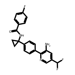 Nc1cc(C(F)F)cnc1-c1ccc(C2(NC(=O)c3ccc(F)cc3)CC2)cc1